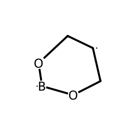 [B]1OC[CH]CO1